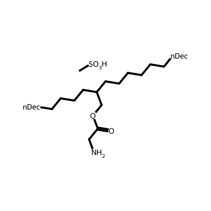 CCCCCCCCCCCCCCCCC(CCCCCCCCCCCCCC)COC(=O)CN.CS(=O)(=O)O